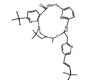 CC1CC(Cc2ccc(/C=C/C(C)(C)C)cn2)Nc2cccc(n2)SNC(=O)c2ccc(C(C)(C)C)nc2N2CC1CC2(C)C